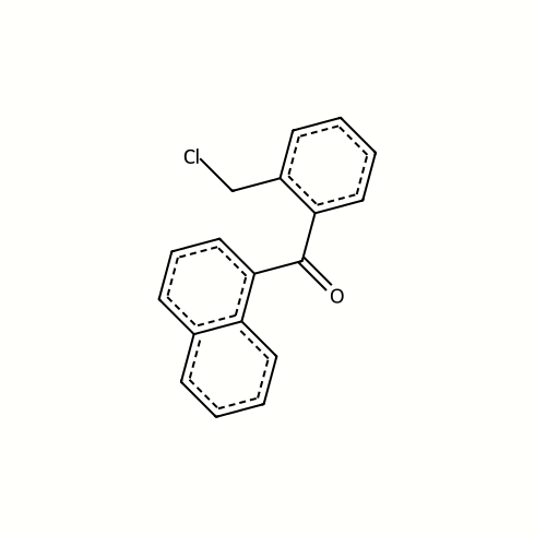 O=C(c1ccccc1CCl)c1cccc2ccccc12